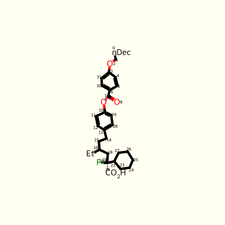 CCCCCCCCCCCOc1ccc(C(=O)Oc2ccc(CCC(CC)C[C@@](F)(C(=O)O)C3CCCCC3)cc2)cc1